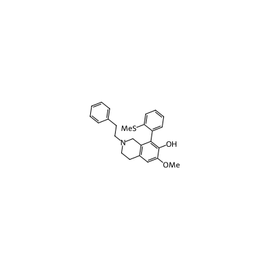 COc1cc2c(c(-c3ccccc3SC)c1O)CN(CCc1ccccc1)CC2